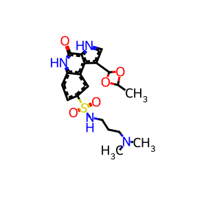 CC1OC(c2c[nH]c3c(=O)[nH]c4ccc(S(=O)(=O)NCCCN(C)C)cc4c23)O1